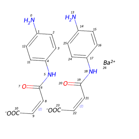 Nc1ccc(NC(=O)/C=C\C(=O)[O-])cc1.Nc1ccc(NC(=O)/C=C\C(=O)[O-])cc1.[Ba+2]